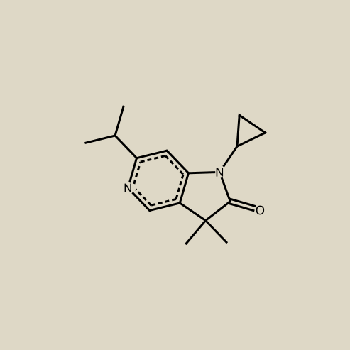 CC(C)c1cc2c(cn1)C(C)(C)C(=O)N2C1CC1